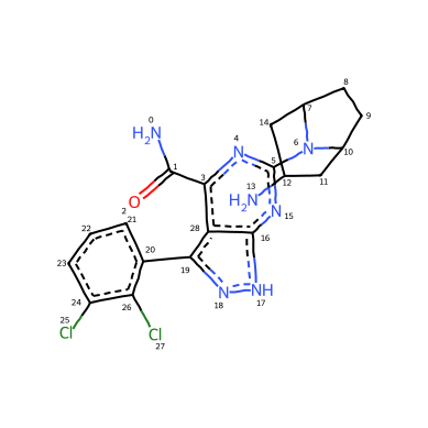 NC(=O)c1nc(N2C3CCC2CC(N)C3)nc2[nH]nc(-c3cccc(Cl)c3Cl)c12